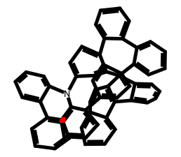 c1ccc(-c2ccccc2N(c2ccc3c(c2)C2(c4ccccc4-c4ccccc4-3)c3ccccc3-c3c2ccc2ccccc32)c2ccccc2-c2ccccc2)cc1